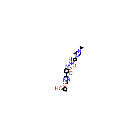 COc1c(-c2cnc(CO[C@H]3CCC[C@@H]3O)nc2)ccc2nc(NC(=O)[C@H]3C[C@@H](N4CCN(C5CC5)C[C@@H]4C)C3)sc12